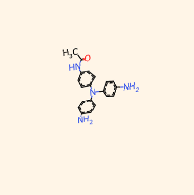 CC(=O)Nc1ccc(N(c2ccc(N)cc2)c2ccc(N)cc2)cc1